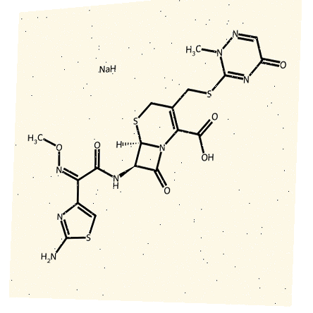 CO/N=C(\C(=O)N[C@@H]1C(=O)N2C(C(=O)O)=C(CSc3nc(=O)cnn3C)CS[C@H]12)c1csc(N)n1.[NaH]